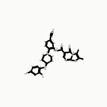 Cc1sc2ncc(C(=O)Nc3cc(C#N)ccc3N3CCC(Oc4ccc(F)cc4F)CC3)c(=O)n2c1C